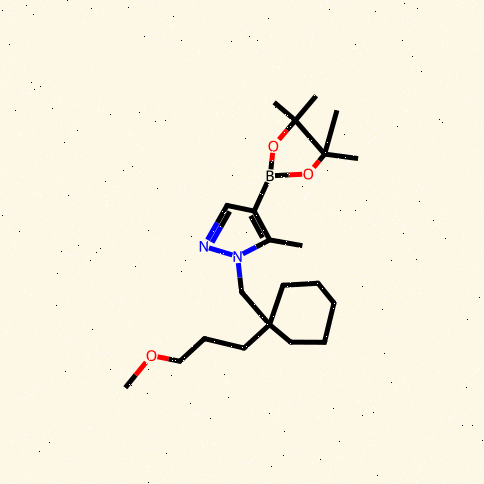 COCCCC1(Cn2ncc(B3OC(C)(C)C(C)(C)O3)c2C)CCCCC1